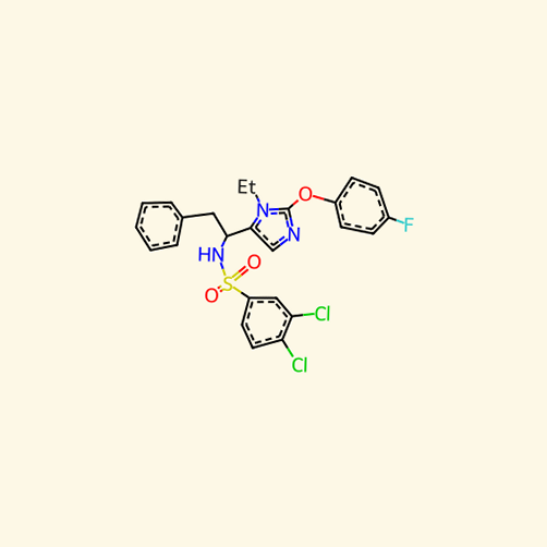 CCn1c(C(Cc2ccccc2)NS(=O)(=O)c2ccc(Cl)c(Cl)c2)cnc1Oc1ccc(F)cc1